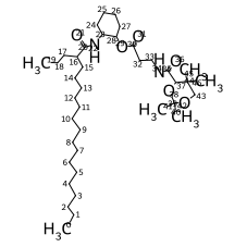 CCCCCCCCCCCCCCCCC(CCC)C(=O)NC1CCCCC1OC(=O)CCNC(=O)C1OC(C)(C)OCC1(C)C